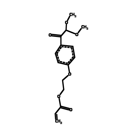 C=CC(=O)OCCOc1ccc(C(=O)C(OC)OC)cc1